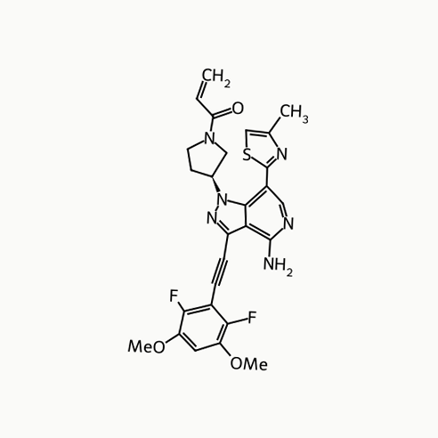 C=CC(=O)N1CC[C@H](n2nc(C#Cc3c(F)c(OC)cc(OC)c3F)c3c(N)ncc(-c4nc(C)cs4)c32)C1